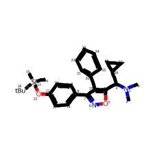 CN(C)C(c1onc(-c2ccc(O[Si](C)(C)C(C)(C)C)cc2)c1-c1ccccc1)C1CC1